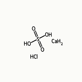 Cl.O=S(=O)(O)O.[CaH2]